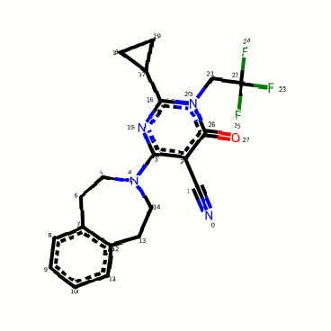 N#Cc1c(N2CCc3ccccc3CC2)nc(C2CC2)n(CC(F)(F)F)c1=O